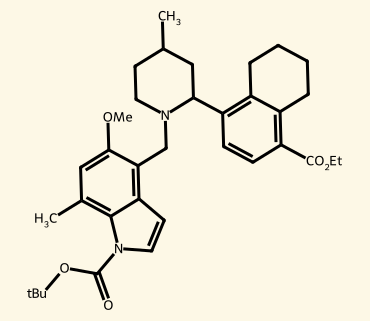 CCOC(=O)c1ccc(C2CC(C)CCN2Cc2c(OC)cc(C)c3c2ccn3C(=O)OC(C)(C)C)c2c1CCCC2